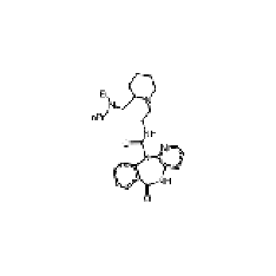 CCCN(CC)CC1CCCCN1CCNC(=O)N1c2ccccc2C(=O)Nc2cccnc21